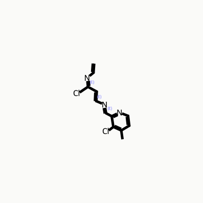 C=C\N=C(Cl)/C=C/N=C/c1nccc(C)c1Cl